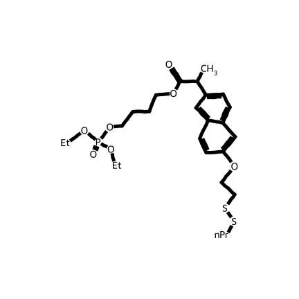 CCCSSCCOc1ccc2cc(C(C)C(=O)OCCCCOP(=O)(OCC)OCC)ccc2c1